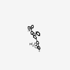 CC1(C)c2ccccc2-c2ccc(-c3ccc4c5ccc(-n6c7ccccc7c7cccnc76)cc5n(-c5ccccc5)c4c3)cc21